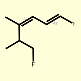 C/C(=C/C=C/F)C(C)CF